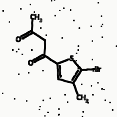 CC(=O)CC(=O)c1cc(C)c(Br)s1